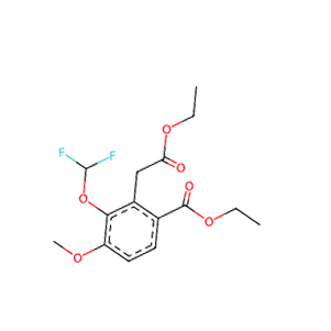 CCOC(=O)Cc1c(C(=O)OCC)ccc(OC)c1OC(F)F